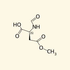 COC(=O)C[C@H](NC=O)C(=O)O